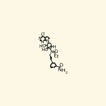 CCC(=O)N(CC#Cc1cccc(C(N)=O)c1)C1[C@H]2C[C@@H](n3ccc4c(Cl)ncnc43)[C@H](O)[C@@]12O